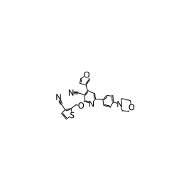 N#Cc1ccsc1COc1nc(-c2ccc(N3CCOCC3)cc2)cc(-c2ccoc2)c1C#N